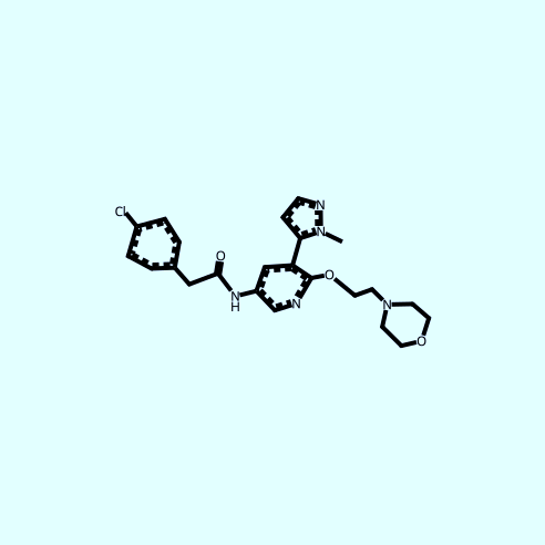 Cn1nccc1-c1cc(NC(=O)Cc2ccc(Cl)cc2)cnc1OCCN1CCOCC1